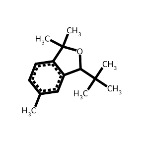 Cc1ccc2c(c1)C(C(C)(C)C)OC2(C)C